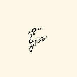 COc1ccc(CO)cc1NC(=O)CCc1ccc(-c2ccccc2)c(NC(=O)OC2CC[N+](C)(C)CC2)c1.[I-]